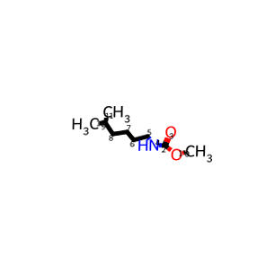 COC(=O)NCCCCC(C)C